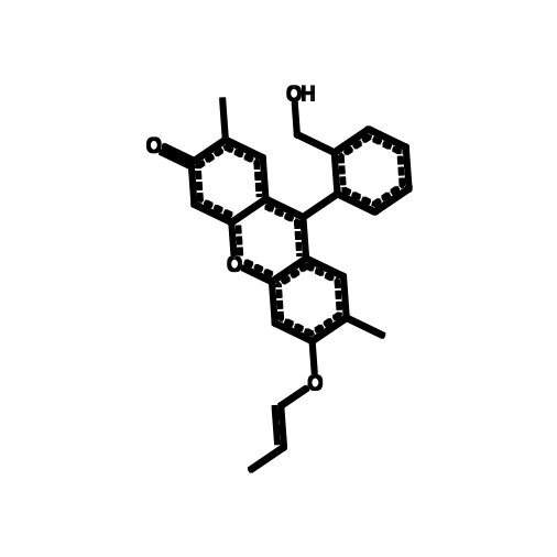 CC=COc1cc2oc3cc(=O)c(C)cc-3c(-c3ccccc3CO)c2cc1C